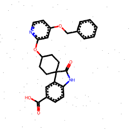 O=C(O)c1ccc2c(c1)C1(CCC(Oc3cc(OCc4ccccc4)ccn3)CC1)C(=O)N2